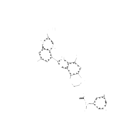 COc1cnc2c(-c3nc4c(Cl)cc5c(c4s3)OC[C@@H](OC(=O)N(C)c3cncc(Cl)c3)O5)cc(C)cc2n1